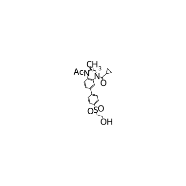 CC(=O)N1c2ccc(-c3ccc(S(=O)(=O)CCO)cc3)cc2N(C(=O)C2CC2)C[C@@H]1C